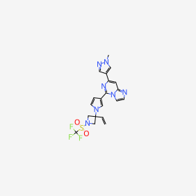 C=CC1(n2ccc(-c3nc(-c4cnn(C)c4)cc4nccn34)c2)CN(S(=O)(=O)C(F)(F)F)C1